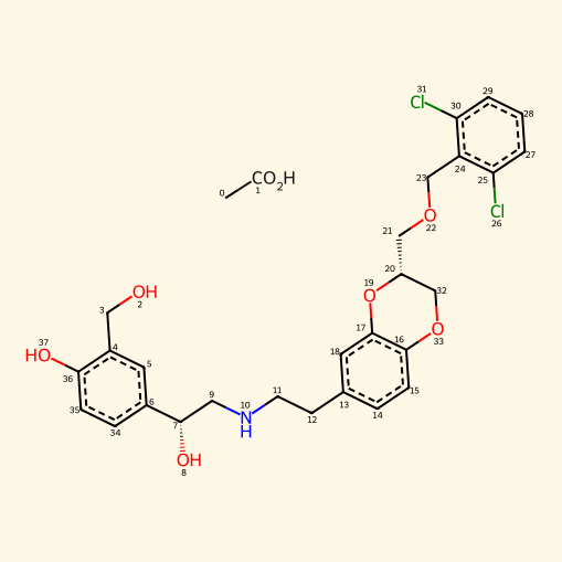 CC(=O)O.OCc1cc([C@@H](O)CNCCc2ccc3c(c2)O[C@H](COCc2c(Cl)cccc2Cl)CO3)ccc1O